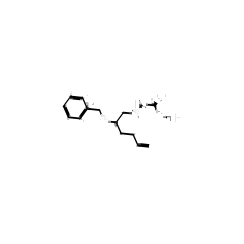 C=CCCC(CNNC(=O)OC(C)(C)C)OCc1ccccc1